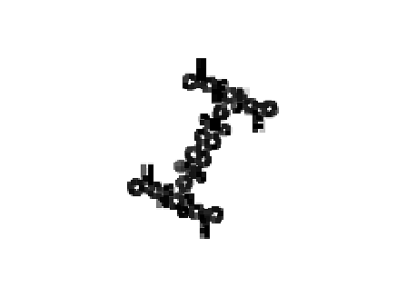 O=C1c2ccc3c4ccc5c6c(ccc(c7ccc(c2c37)C(=O)N1c1ccc(-c2c3c(cc7c2=Nc2cc8c(cc2O7)[nH]c2ccccc28)=Nc2cc7c(cc2O3)[nH]c2ccccc27)cc1)c64)C(=O)N(c1ccc(-c2c3c(cc4c2=Nc2cc6c(cc2O4)[nH]c2ccccc26)=Nc2cc4c(cc2O3)[nH]c2ccccc24)cc1)C5=O